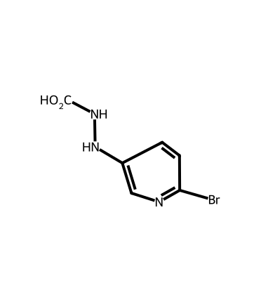 O=C(O)NNc1ccc(Br)nc1